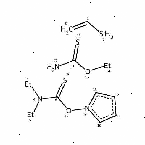 C=C[SiH3].CCN(CC)C(=S)On1cccc1.CCOC(N)=S